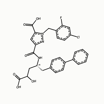 O=C(N[C@H](Cc1ccc(-c2ccccc2)cc1)CC(O)C(=O)O)c1cc(C(=O)O)n(Cc2ccc(Cl)cc2F)n1